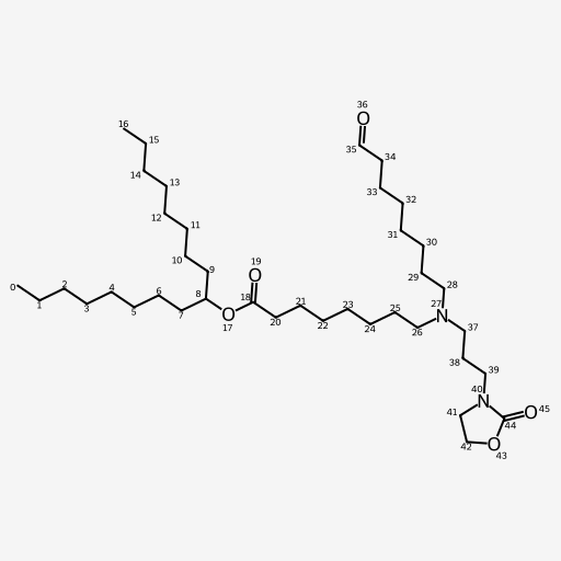 CCCCCCCCC(CCCCCCCC)OC(=O)CCCCCCCN(CCCCCCCC=O)CCCN1CCOC1=O